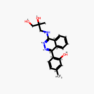 CC(O)(CO)CNc1nnc(-c2ccc(C(F)(F)F)cc2O)c2ccccc12